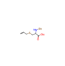 C=CCSCC(NS)C(=O)O